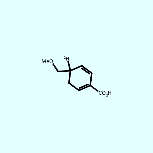 [2H]C1(COC)C=CC(C(=O)O)=CC1